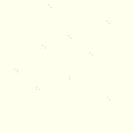 CC1CN(c2ccncc2NC(=O)c2nc3cc(N4CCOCC4)ccc3cc2N)CC(N)C1N(C)C(=O)O